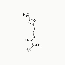 C=C(C)C(=O)OCCC1CC(C)O1